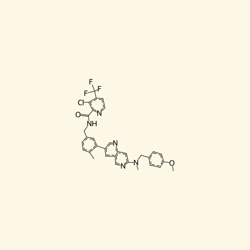 COc1ccc(CN(C)c2cc3ncc(-c4cc(CNC(=O)c5nccc(C(F)(F)F)c5Cl)ccc4C)cc3cn2)cc1